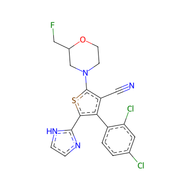 N#Cc1c(N2CCOC(CF)C2)sc(-c2ncc[nH]2)c1-c1ccc(Cl)cc1Cl